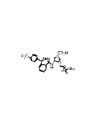 CC(C)(C)[Si](C)(C)OC[C@H]1CN(C(=O)O)C[C@H]1Nc1nnc(-c2ccc(C(F)(F)F)cc2)c2ccccc12